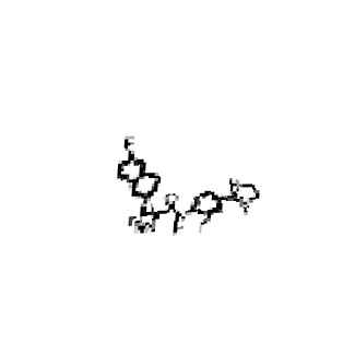 CN1CCN=C1c1ccc(NC(=O)c2nnnn2-c2ccc3cc(F)ccc3c2)c(F)c1